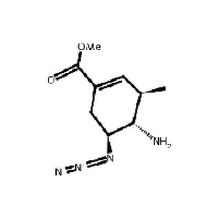 COC(=O)C1=C[C@@H](C)[C@H](N)[C@@H](N=[N+]=[N-])C1